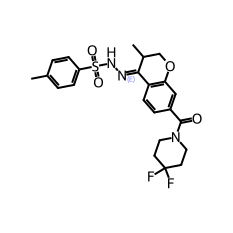 Cc1ccc(S(=O)(=O)N/N=C2/c3ccc(C(=O)N4CCC(F)(F)CC4)cc3OCC2C)cc1